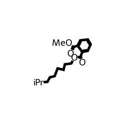 COC(=O)c1ccccc1C(=O)OCCCCCCCC(C)C